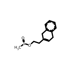 CS(=O)OCCC1=CCc2ccccc2C1